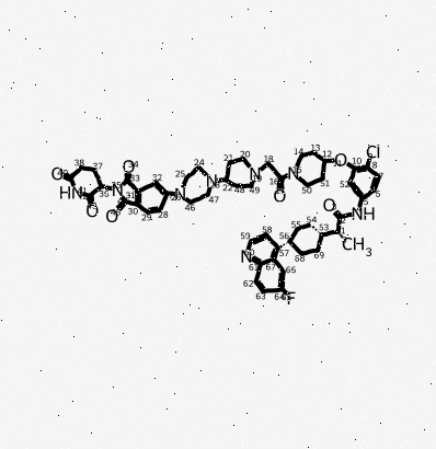 C[C@@H](C(=O)Nc1ccc(Cl)c(OC2CCN(C(=O)CN3CCC(N4CCN(c5ccc6c(c5)C(=O)N(C5CCC(=O)NC5=O)C6=O)CC4)CC3)CC2)c1)[C@H]1CC[C@@H](c2ccnc3ccc(F)cc32)CC1